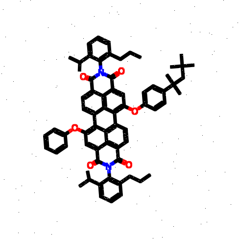 CCCc1cccc(C(C)C)c1N1C(=O)c2ccc3c4c(Oc5ccc(C(C)(C)CC(C)(C)C)cc5)cc5c6c(ccc(c7c(Oc8ccccc8)cc(c2c37)C1=O)c64)C(=O)N(c1c(CCC)cccc1C(C)C)C5=O